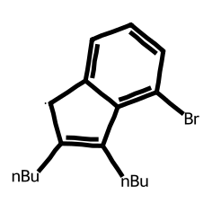 CCCCC1=C(CCCC)c2c(Br)cccc2[CH]1